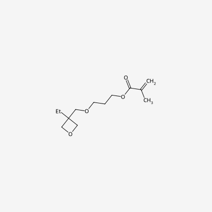 C=C(C)C(=O)OCCCOCC1(CC)COC1